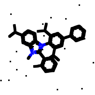 Cc1ccccc1-c1n(-c2c(C(C)C)cc(-c3ccccc3)cc2C(C)C)c2ccc(C(C)C)cc2[n+]1C